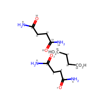 NC(=O)CCC(N)=O.NC(=O)CCC(N)=O.O=C(O)CCC(=O)O